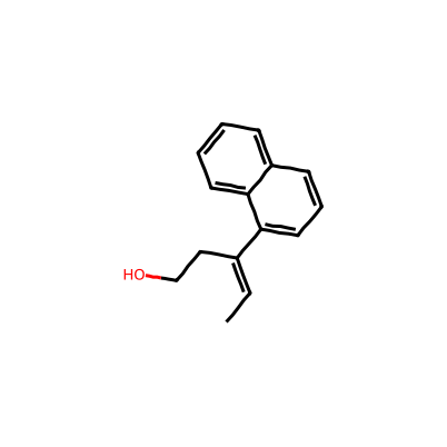 C/C=C(\CCO)c1cccc2ccccc12